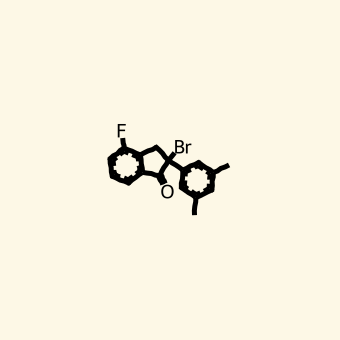 Cc1cc(C)cc(C2(Br)Cc3c(F)cccc3C2=O)c1